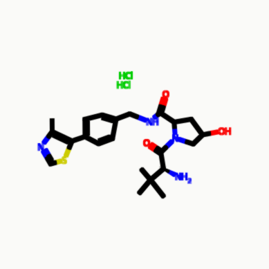 Cc1ncsc1-c1ccc(CNC(=O)C2CC(O)CN2C(=O)[C@@H](N)C(C)(C)C)cc1.Cl.Cl